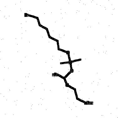 CCCCCCCCCCCCOC(CCC)O[Si](C)(C)OCCCCCCBr